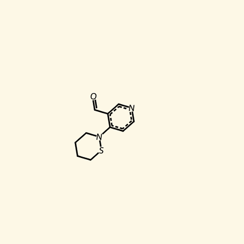 O=Cc1cnccc1N1CCCCS1